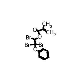 C=C(C)C(=O)OC(Br)C(Br)(Br)Oc1ccccc1